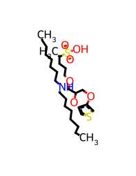 CC(CCCOCC1COc2cscc2O1)S(=O)(=O)O.CCCCCCCCNCCCCCCCC